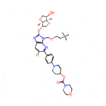 C[Si](C)(C)CCOCn1c(O[C@@H]2CO[C@H]3[C@@H]2OC[C@H]3O)nc2cc(Cl)c(-c3ccc(N4CCC(OC(=O)N5CCOCC5)CC4)cc3)nc21